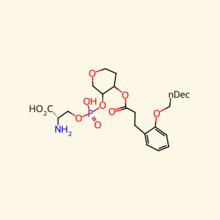 CCCCCCCCCCCOc1ccccc1CCC(=O)OC1CCOCC1OP(=O)(O)OC[C@H](N)C(=O)O